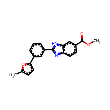 COC(=O)c1ccc2nc(-c3cccc(-c4ccc(C)o4)c3)[nH]c2c1